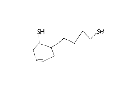 SCCCCC1CC=CCC1S